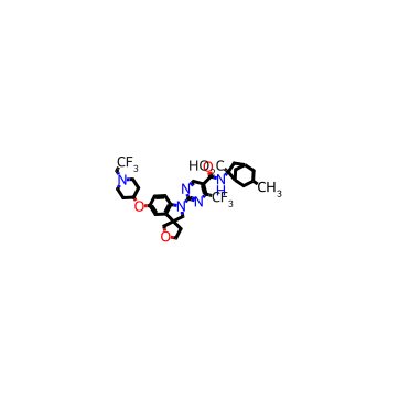 CC1CC2CC(C1)C(NC(=O)c1cnc(N3CC4(CCOC4)c4cc(OC5CCN(CC(F)(F)F)CC5)ccc43)nc1C(F)(F)F)(C(=O)O)C2